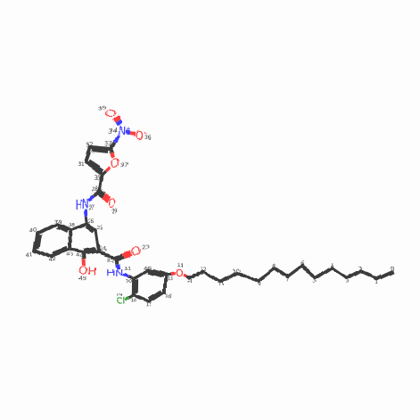 CCCCCCCCCCCCCCOc1ccc(Cl)c(NC(=O)c2cc(NC(=O)c3ccc([N+](=O)[O-])o3)c3ccccc3c2O)c1